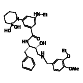 CCNc1cc(C(=O)N[C@@H](Cc2ccccc2)[C@H](O)CNCc2ccc(OC)c(OCC)c2)cc(N2CCCCS2(O)O)c1